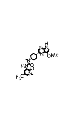 COc1c[nH]c2ncc([C@H]3CC[C@@H](N(C)C(=O)Nc4cc(C(F)(F)F)cn(C)c4=O)CC3)nc12